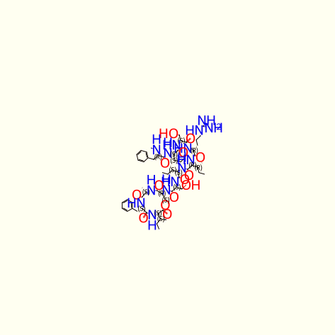 CC[C@@H](C)[C@@H](NC(=O)[C@@H](CCCNC(=N)N)NC(=O)[C@H](CO)NC(=O)[C@@H](NC(=O)[C@@H](Cc1ccccc1)NC)[C@@H](C)CC)C(=O)N[C@H](C(=O)N[C@@H](CO)C(=O)N[C@H]1C(=O)N[C@@H](C)C(=O)N[C@@H](Cc2ccccc2)C(=O)N[C@@H]([C@@H](C)CC)C(=O)O[C@H]1C)[C@@H](C)CC